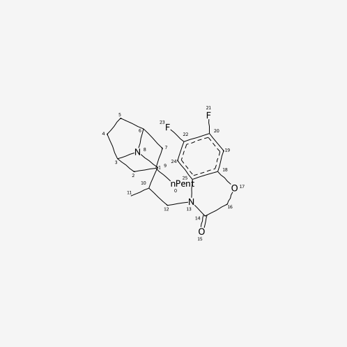 CCCCCC1CC2CCC(C1)N2CC(C)CN1C(=O)COc2cc(F)c(F)cc21